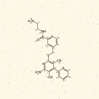 N#Cc1c(N)nc(SCc2cccc(C(=O)NCCN)c2)c(C#N)c1-c1ccccc1